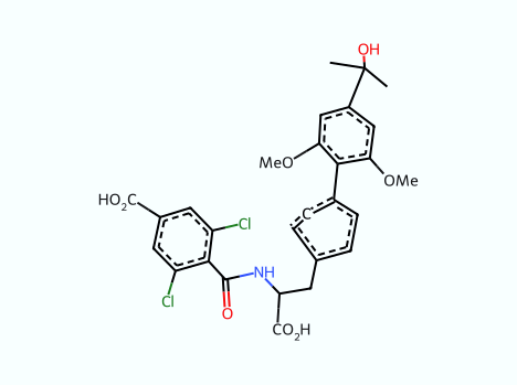 COc1cc(C(C)(C)O)cc(OC)c1-c1ccc(CC(NC(=O)c2c(Cl)cc(C(=O)O)cc2Cl)C(=O)O)cc1